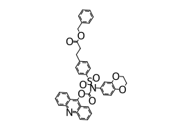 O=C(CCc1ccc(S(=O)(=O)N(C(=O)Oc2c3ccccc3nc3ccccc23)c2ccc3c(c2)OCCO3)cc1)OCc1ccccc1